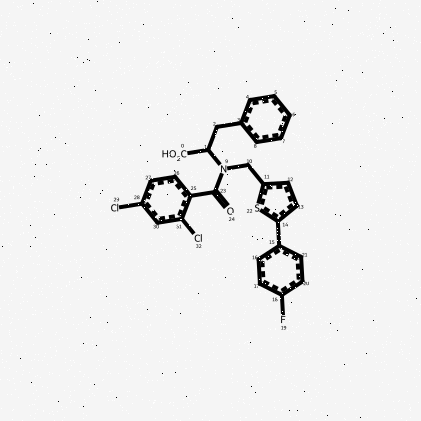 O=C(O)C(Cc1ccccc1)N(Cc1ccc(-c2ccc(F)cc2)s1)C(=O)c1ccc(Cl)cc1Cl